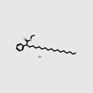 CCCCCCCCCCCCCCCCC(C(=O)OCC)c1ccccc1.[Zn]